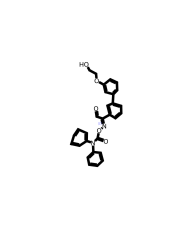 O=C/C(=N\OC(=O)N(c1ccccc1)c1ccccc1)c1cccc(-c2cccc(OCCO)c2)c1